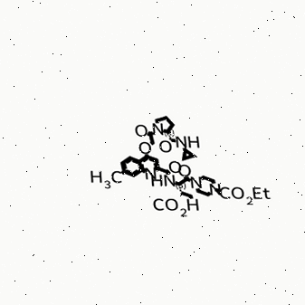 CCOC(=O)N1CCN(C(=O)[C@H](CCC(=O)O)NC(=O)c2cc(OCC(=O)N3CCC[C@@H]3C(=O)NC3CC3)c3ccc(C)cc3n2)CC1